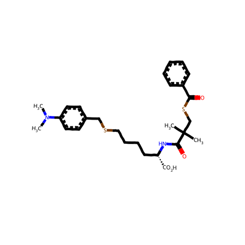 CN(C)c1ccc(CSCCCC[C@H](NC(=O)C(C)(C)CSC(=O)c2ccccc2)C(=O)O)cc1